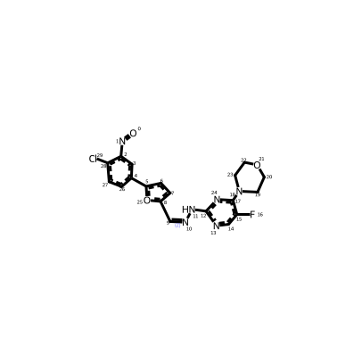 O=Nc1cc(-c2ccc(/C=N\Nc3ncc(F)c(N4CCOCC4)n3)o2)ccc1Cl